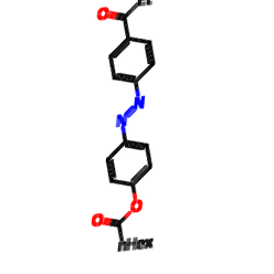 CCCCCCC(=O)Oc1ccc(/N=N/c2ccc(C(=O)CC)cc2)cc1